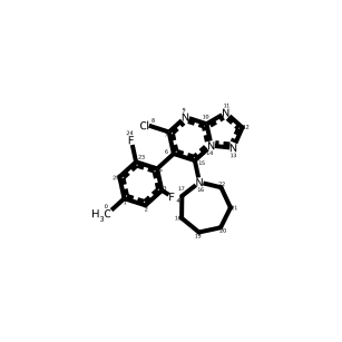 Cc1cc(F)c(-c2c(Cl)nc3ncnn3c2N2CCCCCC2)c(F)c1